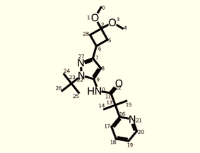 COC1(OC)CC(c2cc(NC(=O)C(C)(C)c3ccccn3)n(C(C)(C)C)n2)C1